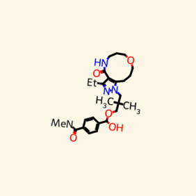 CCc1nn(CC(C)(C)COC(O)c2ccc(C(=O)NC)cc2)c2c1C(=O)NCCCOCCC2